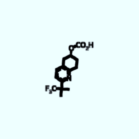 CC(C)(c1ccc2c(n1)CC[C@H](OC(=O)O)C2)C(F)(F)F